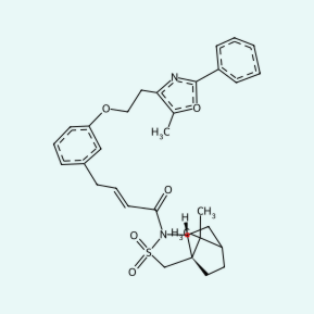 Cc1oc(-c2ccccc2)nc1CCOc1cccc(C/C=C/C(=O)N2[C@@H]3CC4CC[C@]3(CS2(=O)=O)C4(C)C)c1